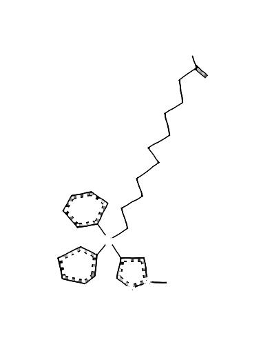 Cn1cc([PH](CCCCCCCCCCC(=O)O)(c2ccccc2)c2ccccc2)cn1